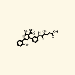 NC(=O)c1c(-c2cccc(NC(=O)C(O)CCC(=O)O)c2)cc(-c2ccccc2O)nc1N